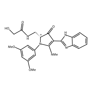 CNC1=C(c2nc3ccccc3[nH]2)C(=O)[C@@H](CNC(=O)CO)N1c1cc(OC)cc(OC)c1